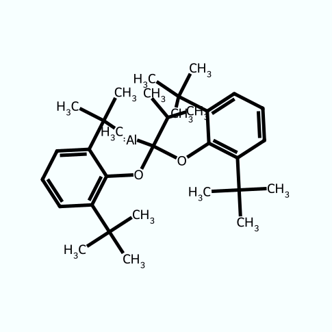 CC(C)[C]([Al])(Oc1c(C(C)(C)C)cccc1C(C)(C)C)Oc1c(C(C)(C)C)cccc1C(C)(C)C